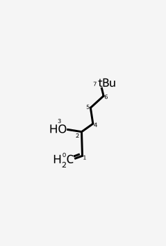 C=CC(O)CCCC(C)(C)C